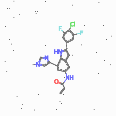 C=CC(=O)Nc1cc(-c2cn(C)cn2)c2[nH]c(-c3cc(F)c(Cl)c(F)c3)cc2c1